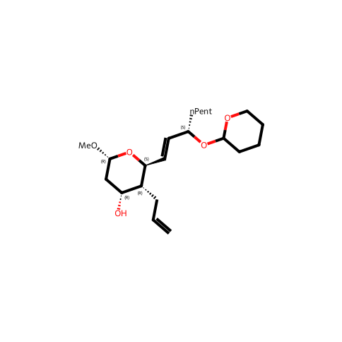 C=CC[C@@H]1[C@H](O)C[C@H](OC)O[C@H]1C=C[C@H](CCCCC)OC1CCCCO1